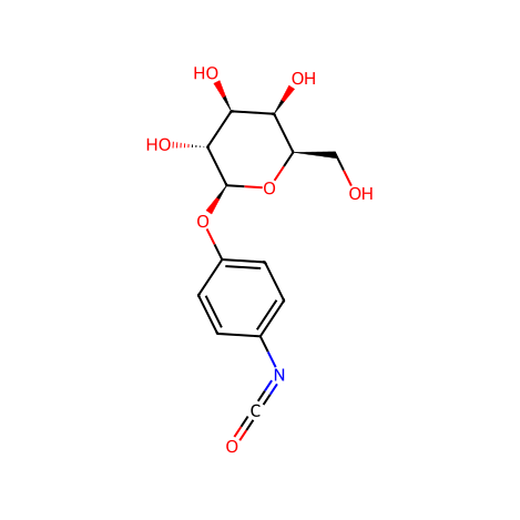 O=C=Nc1ccc(O[C@@H]2O[C@H](CO)[C@H](O)[C@H](O)[C@H]2O)cc1